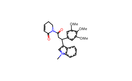 COc1cc(C(CC(=O)N2CCC=CC2=O)c2cn(C)c3ccccc23)cc(OC)c1OC